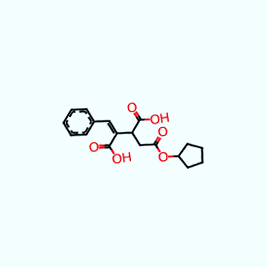 O=C(CC(C(=O)O)C(=Cc1ccccc1)C(=O)O)OC1CCCC1